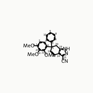 COc1ccc(C2(c3ccccc3)C=Cc3c(C#N)n[nH]c3C2)c(OC)c1OC